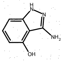 Nc1n[nH]c2cccc(O)c12